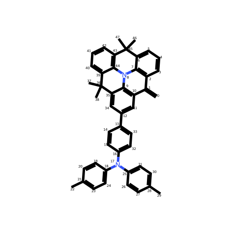 C=C1c2cccc3c2N2c4c1cc(-c1ccc(N(c5ccc(C)cc5)c5ccc(C)cc5)cc1)cc4C(C)(C)c1cccc(c12)C3(C)C